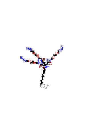 [N-]=[N+]=NCCOCCOCCNC(=O)CCC(CCC(=O)NCCOCCOCCN=[N+]=[N-])(CCC(=O)NCCOCCOCCN=[N+]=[N-])NC(=O)CCCCCCCCCCC(=O)O